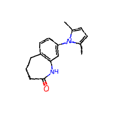 Cc1ccc(C)n1-c1ccc2c(c1)NC(=O)CCC2